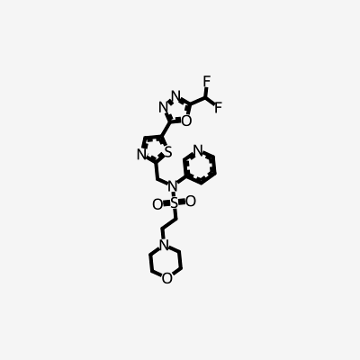 O=S(=O)(CCN1CCOCC1)N(Cc1ncc(-c2nnc(C(F)F)o2)s1)c1cccnc1